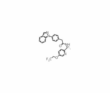 C[C@@H](NC(=O)Cc1ccc(-n2ncc3ccccc32)cc1)c1ccc(OCC(F)(F)F)cn1